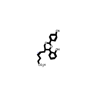 N#Cc1ccc(C2OCC(C/C=C\CCC(=O)O)C(c3ccccc3O)O2)cc1